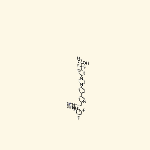 CC(O)C(F)(F)c1ccc(N2CCN(c3ccc(-c4ccc(CC(CN(N)/C=N\N)c5ccc(F)cc5F)nc4)cc3)CC2)cn1